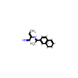 C/C=C(C=N)\N=C(/C)c1ccc2c(c1)CCC=C2